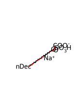 CCCCCCCCCCCCCCCCCCCCCCCCCCCCCCCCCCOC(=O)C(CC(=O)[O-])S(=O)(=O)O.[Na+]